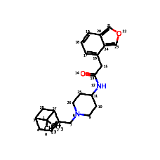 CC1(C)C2CC=C(CN3CCC(NC(=O)Cc4cccc5cocc45)CC3)C1C2